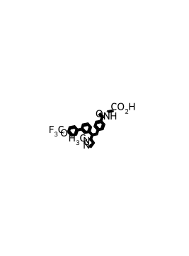 CN1N=CCC1C(Cc1ccc(C(=O)NCCC(=O)O)cc1)c1cccc(-c2ccc(OC(F)(F)F)cc2)c1